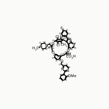 COc1ccccc1-c1nccc(COc2ccc3cc2C[C@@H](C(=O)O)Oc2ncnc4sc(-c5ccc(F)cc5)c(c24)-c2c(C)c(Cl)c(c(Cl)c2C)O[C@H](CN2CCN(C)CC2)CO3)n1